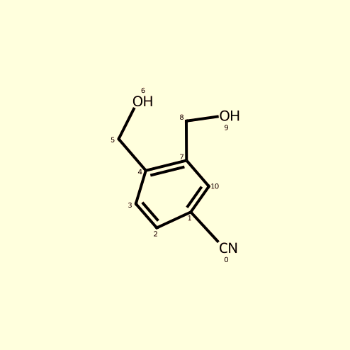 N#Cc1ccc(CO)c(CO)c1